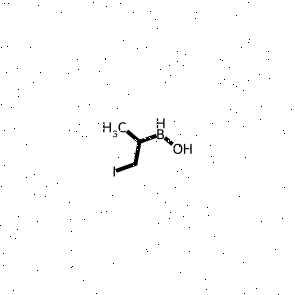 CC(BO)CI